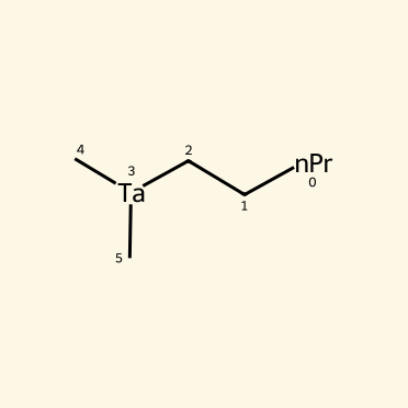 CCCC[CH2][Ta]([CH3])[CH3]